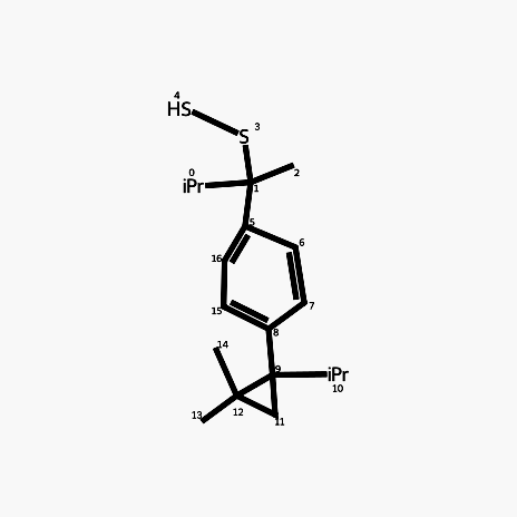 CC(C)C(C)(SS)c1ccc(C2(C(C)C)CC2(C)C)cc1